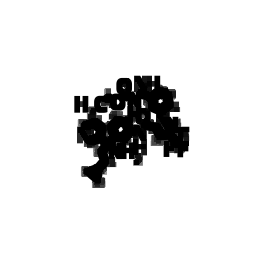 CCOC(=O)NC(N)c1cccc(-n2nc(C(F)(F)F)cc2C(=O)Nc2cc(C(N)(CCC3CC3)c3cccnc3)ccc2F)c1